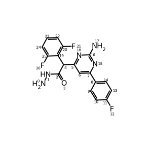 NNC(=O)C(c1cc(-c2ccc(F)cc2)nc(N)n1)c1c(F)cccc1F